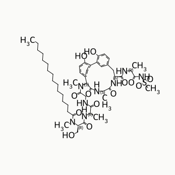 CCCCCCCCCCCCCCCC(=O)N(C)[C@H](CO)C(=O)N[C@H](C)C(=O)NCC(=O)N(C)[C@@H]1C(=O)N[C@@H](C)C(=O)N[C@H](C(=O)N[C@H](C)C(=O)NS(C)(=O)=O)Cc2ccc(O)c(c2)-c2cc1ccc2O